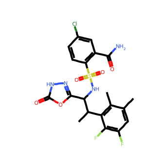 Cc1cc(F)c(F)c(C(C)C(NS(=O)(=O)c2ccc(Cl)cc2C(N)=O)c2n[nH]c(=O)o2)c1C